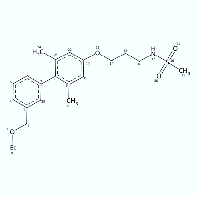 CCOCc1cccc(-c2c(C)cc(OCCCNS(C)(=O)=O)cc2C)c1